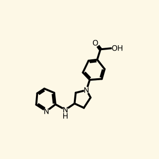 O=C(O)c1ccc(N2CCC(Nc3ccccn3)C2)cc1